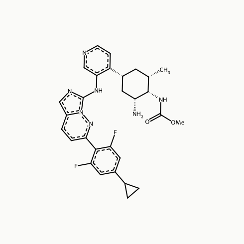 COC(=O)N[C@@H]1[C@H](N)C[C@H](c2ccncc2Nc2ncc3ccc(-c4c(F)cc(C5CC5)cc4F)nn23)C[C@@H]1C